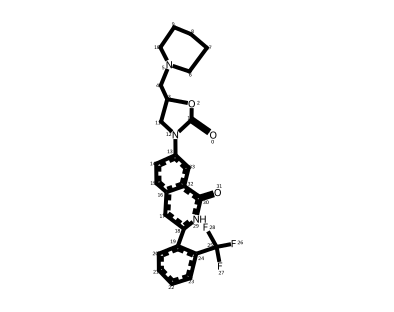 O=C1OC(CN2CCCCC2)CN1c1ccc2cc(-c3ccccc3C(F)(F)F)[nH]c(=O)c2c1